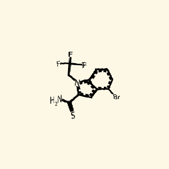 NC(=S)c1cc2c(Br)cccc2n1CC(F)(F)F